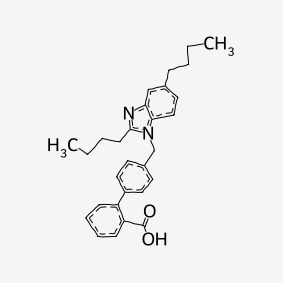 CCCCc1ccc2c(c1)nc(CCCC)n2Cc1ccc(-c2ccccc2C(=O)O)cc1